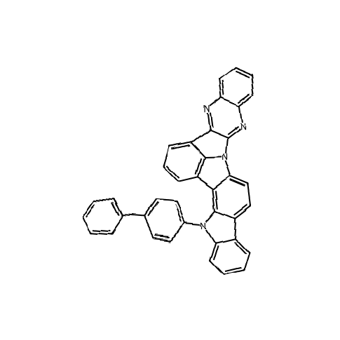 c1ccc(-c2ccc(-n3c4ccccc4c4ccc5c(c6cccc7c8nc9ccccc9nc8n5c76)c43)cc2)cc1